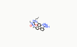 CCCc1nc2c(c(=O)n(C(C)c3ccccc3)c(=O)n2CC)n1Cc1ccc(-c2ccccc2-c2nnn[nH]2)cc1